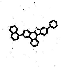 c1ccc(-c2ccc3c(c2)sc2c4ccc(-c5cccc6ccccc56)cc4c4ccccc4c32)cc1